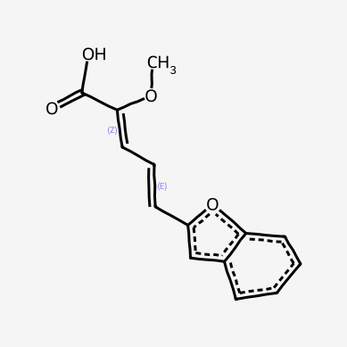 CO/C(=C\C=C\c1cc2ccccc2o1)C(=O)O